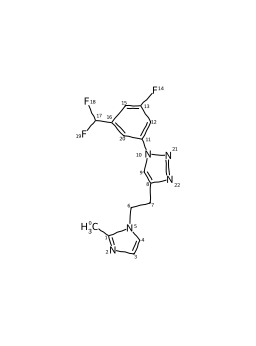 Cc1nccn1CCc1cn(-c2cc(F)cc(C(F)F)c2)nn1